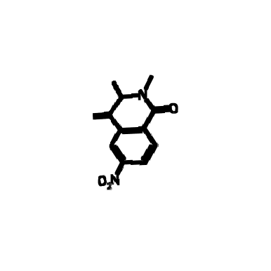 C=C1c2cc([N+](=O)[O-])ccc2C(=O)N(C)C1C